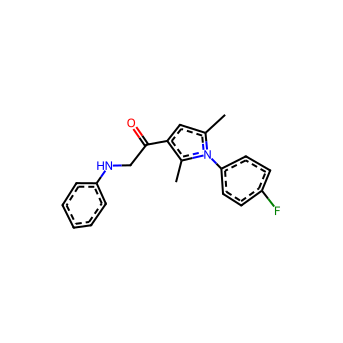 Cc1cc(C(=O)CNc2ccccc2)c(C)n1-c1ccc(F)cc1